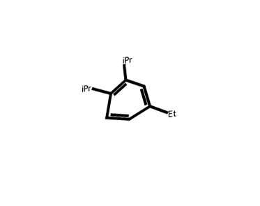 [CH2]Cc1ccc(C(C)C)c(C(C)C)c1